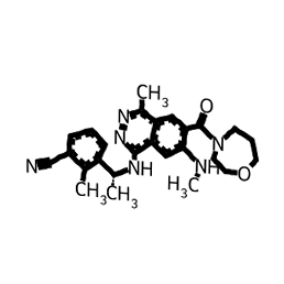 CNc1cc2c(N[C@H](C)c3cccc(C#N)c3C)nnc(C)c2cc1C(=O)N1CCCOCC1